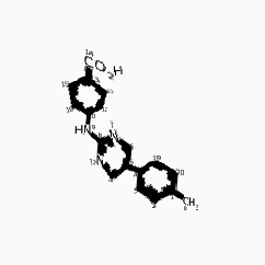 Cc1ccc(-c2cnc(Nc3ccc(C(=O)O)cc3)nc2)cc1